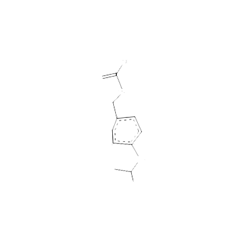 I.NC(=S)NCc1ccc(OC(F)F)cc1